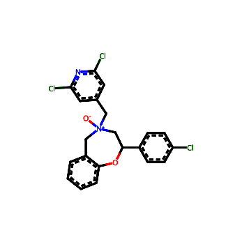 [O-][N+]1(Cc2cc(Cl)nc(Cl)c2)Cc2ccccc2OC(c2ccc(Cl)cc2)C1